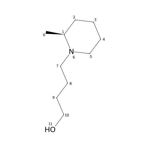 C[C@H]1CCCCN1CCCCO